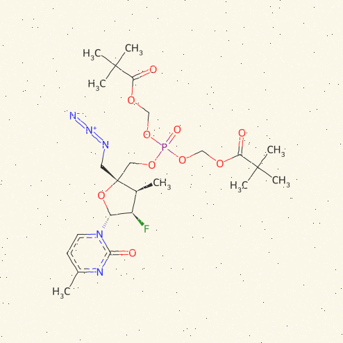 Cc1ccn([C@@H]2O[C@](CN=[N+]=[N-])(COP(=O)(OCOC(=O)C(C)(C)C)OCOC(=O)C(C)(C)C)[C@@H](C)[C@H]2F)c(=O)n1